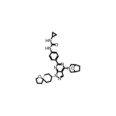 O=C(Nc1ccc(-c2nc(N3CC4CCC(C3)O4)c3cnn([C@H]4CC[C@@]5(CCCO5)CC4)c3n2)cc1)NC1CC1